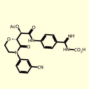 CC(=O)O[C@@H](C(=O)Nc1ccc(C(=N)NC(=O)O)cc1)[C@H]1OCCN(c2cccc(C#N)c2)C1=O